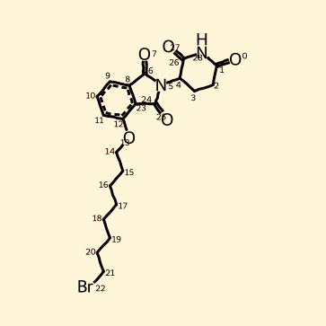 O=C1CCC(N2C(=O)c3cccc(OCCCCCCCCBr)c3C2=O)C(=O)N1